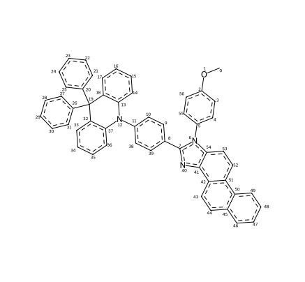 COc1ccc(-n2c(-c3ccc(N4c5ccccc5C(c5ccccc5)(c5ccccc5)c5ccccc54)cc3)nc3c4ccc5ccccc5c4ccc32)cc1